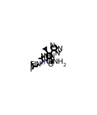 CC(=N)/C(=C\NCC(F)F)Nc1nc(C2CC2)c(-c2cncc3c2ncn3C)nc1C(N)=O